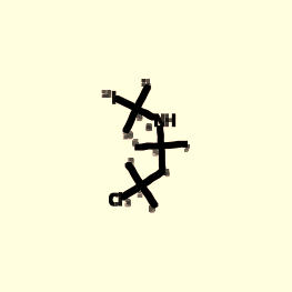 CC(C)(Cl)CC(C)(C)NC(C)(C)I